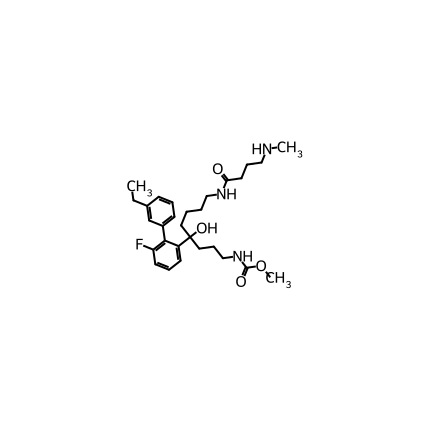 CCc1cccc(-c2c(F)cccc2C(O)(CCCCNC(=O)CCCNC)CCCNC(=O)OC)c1